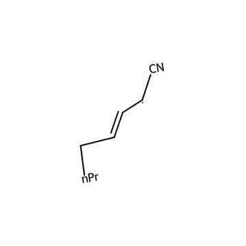 CCCCC=C[CH]C#N